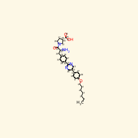 CCCCCCCOc1ccc(-c2cnc(-c3ccc(CC(N)C(=O)N4CC[C@H](C(=O)O)C4)cc3)nc2)cc1